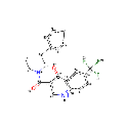 CCN(CCc1ccccc1)C(=O)c1c[nH]c2ccc(C(F)(F)F)cc2c1=O